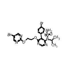 CC(C)N(c1ncnc(OCCOc2ncc(Br)cn2)c1-c1ccc(Br)cc1)S(N)(=O)=O